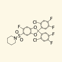 O=S(=O)(c1cc2c(cc1F)OC(c1cc(F)c(F)cc1Cl)(c1cc(F)c(F)cc1Cl)O2)N1CCCCC1